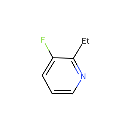 CCc1ncccc1F